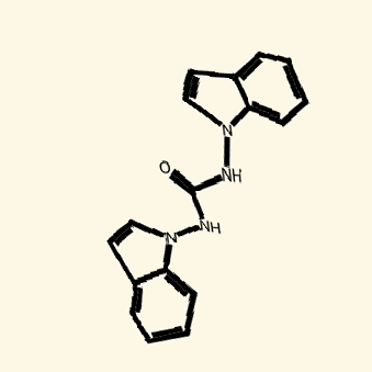 O=C(Nn1ccc2ccccc21)Nn1ccc2ccccc21